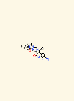 CC(C)(C)NC(=O)N1CCN2C(C3CC3)=C(c3ccc(C#N)cc3)C(C(N)=O)C2C1